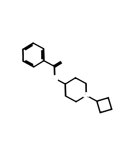 O=C(OC1CCN(C2CCC2)CC1)c1ccccc1